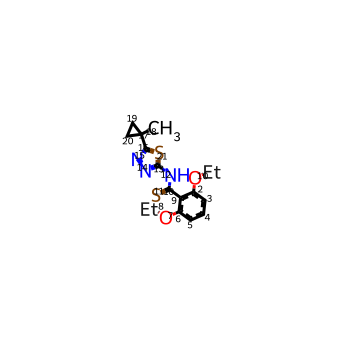 CCOc1cccc(OCC)c1C(=S)Nc1nnc(C2(C)CC2)s1